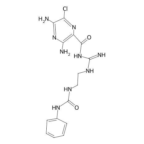 N=C(NCCNC(=O)Nc1ccccc1)NC(=O)c1nc(Cl)c(N)nc1N